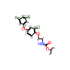 CC(C)OC(=O)NCCOc1ccc(Oc2cc(F)cc(F)c2)cc1Cl